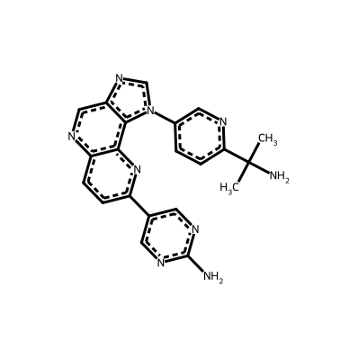 CC(C)(N)c1ccc(-n2cnc3cnc4ccc(-c5cnc(N)nc5)nc4c32)cn1